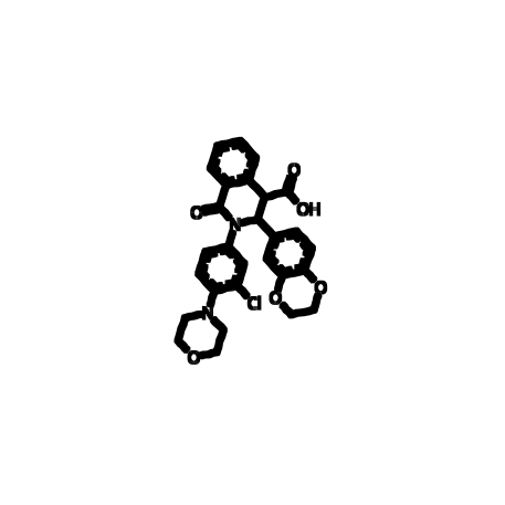 O=C(O)C1c2ccccc2C(=O)N(c2ccc(N3CCOCC3)c(Cl)c2)C1c1ccc2c(c1)OCCO2